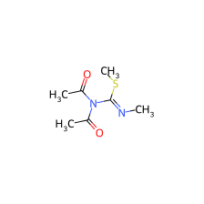 CN=C(SC)N(C(C)=O)C(C)=O